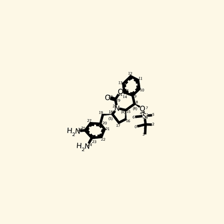 CC(C)(C)[Si](C)(C)O[C@H](c1ccccc1)[C@H]1CC[C@@H](Cc2ccc(N)c(N)c2)N1C(=O)O